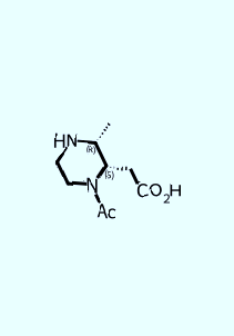 CC(=O)N1CCN[C@H](C)[C@@H]1CC(=O)O